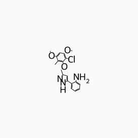 COc1cc(OC)c(Cl)c(OCc2cc(-c3ccccc3N)[nH]n2)c1C